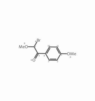 COc1ccc(C(=O)C(Br)OC)cc1